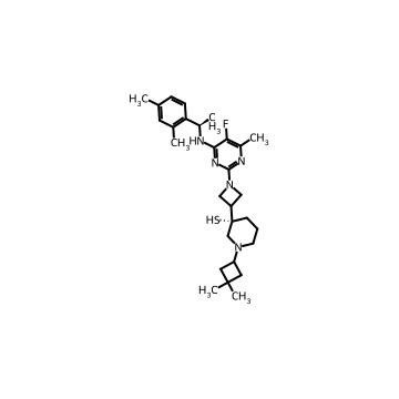 Cc1ccc([C@@H](C)Nc2nc(N3CC([C@@]4(S)CCCN(C5CC(C)(C)C5)C4)C3)nc(C)c2F)c(C)c1